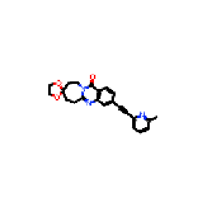 Cc1cccc(C#Cc2ccc3c(=O)n4c(nc3c2)CCC2(CC4)OCCO2)n1